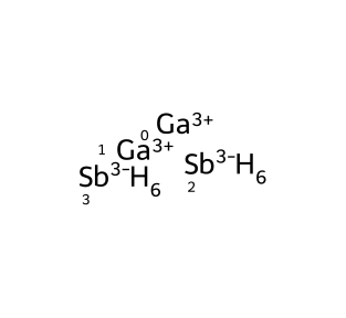 [Ga+3].[Ga+3].[SbH6-3].[SbH6-3]